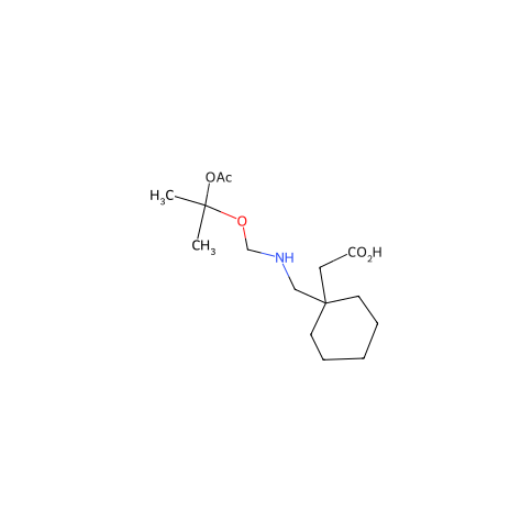 CC(=O)OC(C)(C)OCNCC1(CC(=O)O)CCCCC1